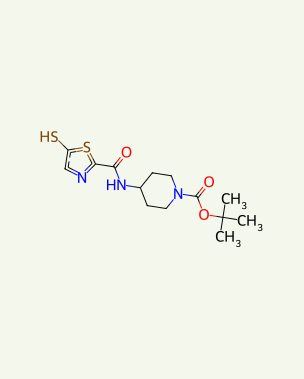 CC(C)(C)OC(=O)N1CCC(NC(=O)c2ncc(S)s2)CC1